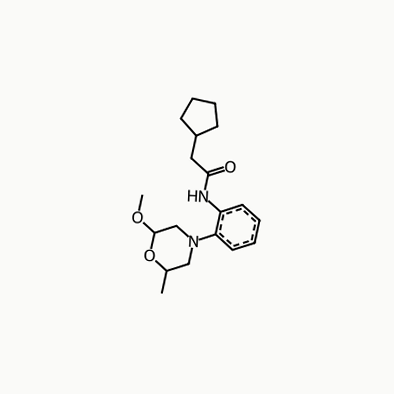 COC1CN(c2ccccc2NC(=O)CC2CCCC2)CC(C)O1